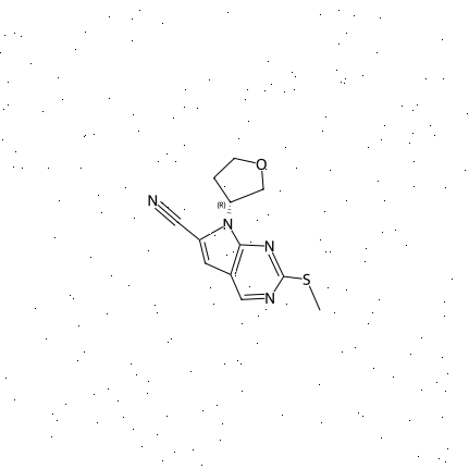 CSc1ncc2cc(C#N)n([C@@H]3CCOC3)c2n1